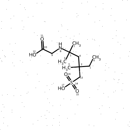 CCC(C)(CC(C)(C)NCC(=O)O)CS(=O)(=O)O